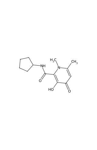 Cc1cc(=O)c(O)c(C(=O)NC2CCCC2)n1C